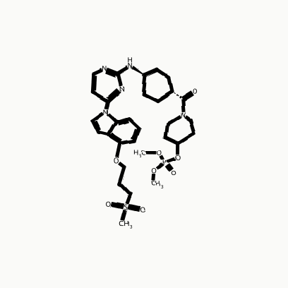 COP(=O)(OC)OC1CCN(C(=O)[C@H]2CC[C@H](Nc3nccc(-n4ccc5c(OCCCS(C)(=O)=O)cccc54)n3)CC2)CC1